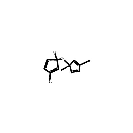 CCC1=C[C](CC)([Zr][C]2(C)C=CC(C)=C2)C=C1